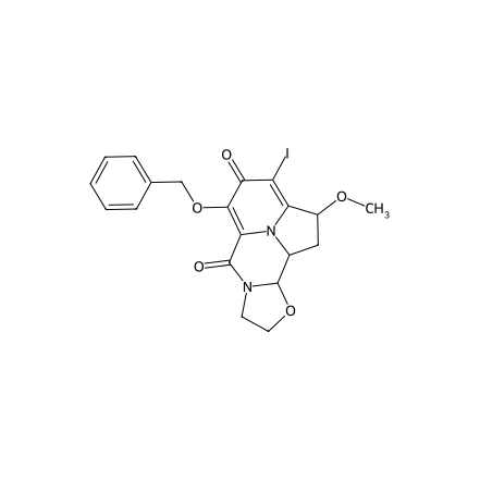 COC1CC2C3OCCN3C(=O)c3c(OCc4ccccc4)c(=O)c(I)c1n32